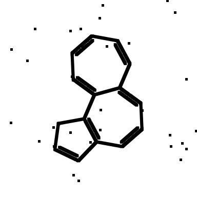 C1=CC=C2C(=CC=CC3=C2CC=C3)C=C1